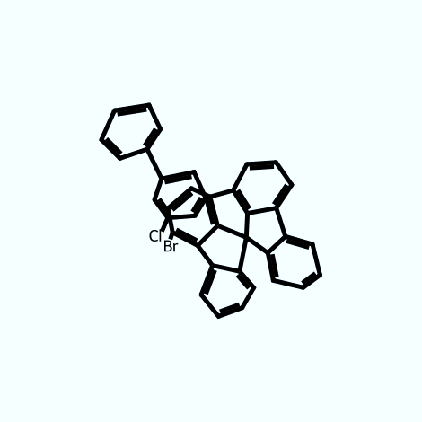 Clc1cc(-c2ccccc2)cc(-c2cccc3c2C2(c4ccccc4-3)c3ccccc3-c3c(Br)cccc32)c1